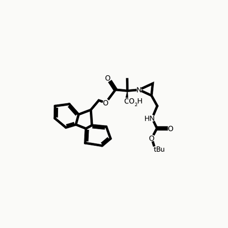 CC(C)(C)OC(=O)NCC1CN1[C@](C)(C(=O)O)C(=O)OCC1c2ccccc2-c2ccccc21